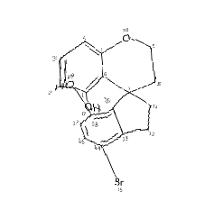 Oc1cccc2c1C1(CCO2)CCc2c(Br)ccc(O)c21